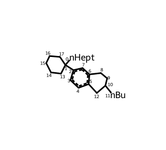 CCCCCCCC1(c2ccc3c(c2)CCC(CCCC)C3)CCCCC1